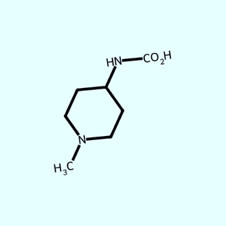 CN1CCC(NC(=O)O)CC1